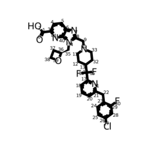 O=C(O)c1ccc2nc(CN3CCC(C(F)(F)c4cccc(Cc5ccc(Cl)cc5F)n4)CC3)n(C[C@@H]3CCO3)c2n1